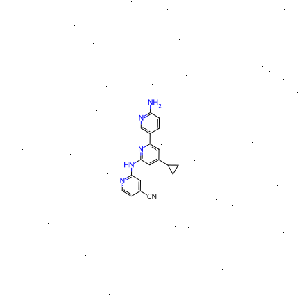 N#Cc1ccnc(Nc2cc(C3CC3)cc(-c3ccc(N)nc3)n2)c1